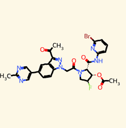 CC(=O)O[C@H]1[C@@H](C(=O)Nc2cccc(Br)n2)N(C(=O)Cn2nc(C(C)=O)c3cc(-c4cnc(C)nc4)ccc32)C[C@@H]1F